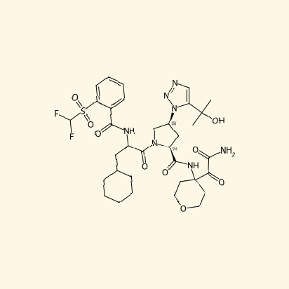 CC(C)(O)c1cnnn1[C@H]1C[C@@H](C(=O)NC2(C(=O)C(N)=O)CCOCC2)N(C(=O)C(CC2CCCCC2)NC(=O)c2ccccc2S(=O)(=O)C(F)F)C1